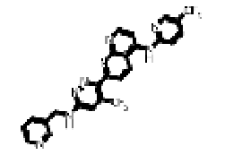 FC(F)(F)c1ccc(Nc2ccnc3nc(-c4nnc(NCc5cccnc5)cc4C(F)(F)F)ccc23)nc1